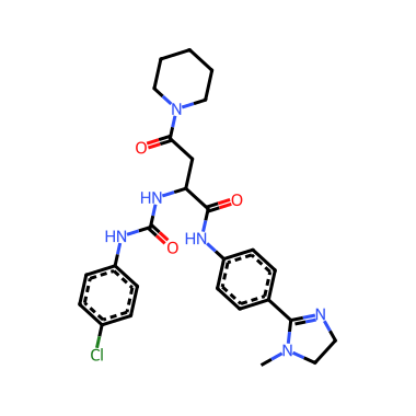 CN1CCN=C1c1ccc(NC(=O)C(CC(=O)N2CCCCC2)NC(=O)Nc2ccc(Cl)cc2)cc1